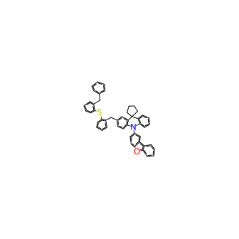 c1ccc(Cc2ccccc2Sc2ccccc2Cc2ccc3c(c2)C2(CCCC2)c2ccccc2N3c2ccc3oc4ccccc4c3c2)cc1